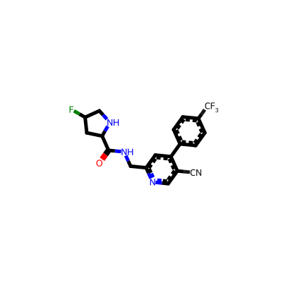 N#Cc1cnc(CNC(=O)C2CC(F)CN2)cc1-c1ccc(C(F)(F)F)cc1